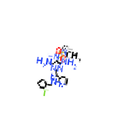 CN(C)S(=O)(=O)Nc1c(N)nc(-c2nn(Cc3ccccc3F)c3ncccc23)nc1N